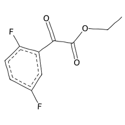 CCOC(=O)C(=O)c1cc(F)ccc1F